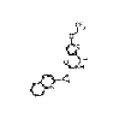 C[C@@H](NC(=O)[C@@H]1C[C@H]1c1ccc2ccccc2n1)c1ccc(OCC(F)(F)F)s1